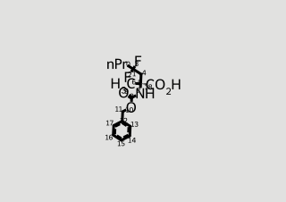 CCCC(F)(F)C[C@](C)(NC(=O)OCc1ccccc1)C(=O)O